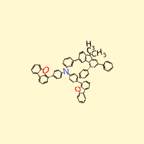 CC1(C)c2ccc(-c3cccc(N(c4ccc(-c5cccc6c5oc5ccccc56)cc4)c4ccc(-c5cccc6c5oc5ccccc56)cc4)c3)cc2-c2c(-c3ccccc3)cc(-c3ccccc3)cc21